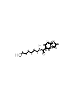 O=C(NCCCCCCO)c1ccc2nccn2c1